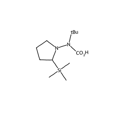 CC(C)(C)N(C(=O)O)N1CCCC1[Si](C)(C)C